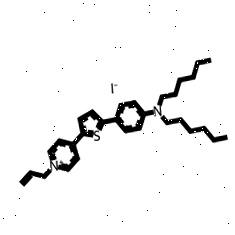 C=CC[n+]1ccc(-c2ccc(-c3ccc(N(CCCCCC)CCCCCC)cc3)s2)cc1.[I-]